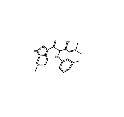 C=C(c1c[nH]c2cc(C)ccc12)C(Nc1cccc(C)c1)C(=N)C=C(C)C